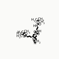 C=CC1(N=[N+]=[N-])CN(S(=O)(=O)NCCNC(=O)OC(C)(C)C)C[C@@H]1CCCB1OC(C)(C)C(C)(C)O1